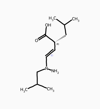 CC(C)C[C@H](/C=C/N(N)CC(C)C)C(=O)O